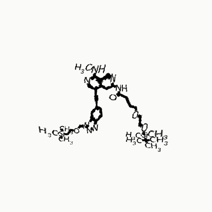 CNc1ncc(C#Cc2ccc3nnn(COCC[Si](C)(C)C)c3c2)c2cc(NC(=O)CCCOCCO[Si](C)(C)C(C)(C)C)ncc12